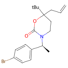 C=CCC1(C(C)(C)C)CCN([C@@H](C)c2ccc(Br)cc2)C(=O)O1